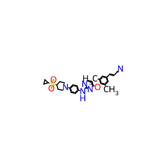 Cc1cc(/C=C/C#N)cc(C)c1Oc1ccnc(Nc2ccc(N3CCC(S(=O)(=O)C4CC4)CC3)cc2)n1